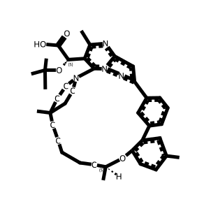 Cc1ccc2c(c1)-c1cccc(c1)-c1cc3nc(C)c([C@H](OC(C)(C)C)C(=O)O)c(n3n1)N1CCC(C)(CCCCC[C@H](C)O2)CC1